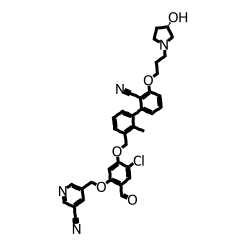 Cc1c(COc2cc(OCc3cncc(C#N)c3)c(C=O)cc2Cl)cccc1-c1cccc(OCCCN2CC[C@H](O)C2)c1C#N